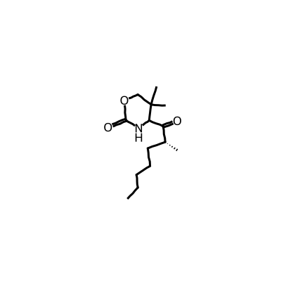 CCCCC[C@@H](C)C(=O)C1NC(=O)OCC1(C)C